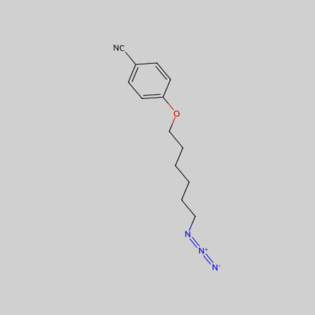 N#Cc1ccc(OCCCCCCN=[N+]=[N-])cc1